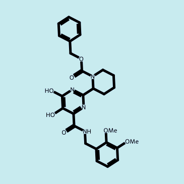 COc1cccc(CNC(=O)c2nc(C3CCCCN3C(=O)OCc3ccccc3)nc(O)c2O)c1OC